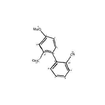 COc1ccc(-c2ccccc2C#N)c(C=O)c1